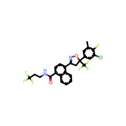 Cc1cc(C2(C(F)(F)F)CC(c3ccc(C(=O)NCCC(F)(F)F)c4ccccc34)=NO2)cc(Cl)c1F